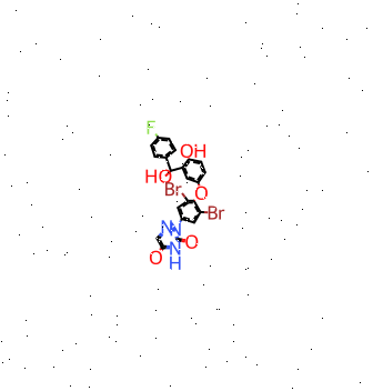 O=c1cnn(-c2cc(Br)c(Oc3ccc(O)c(C(O)c4ccc(F)cc4)c3)c(Br)c2)c(=O)[nH]1